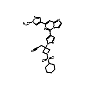 Cn1cc(-c2cc3nccn3c(-c3cnn(C4(CC#N)CN(S(=O)(=O)C5CCCCC5)C4)c3)n2)cn1